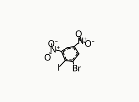 O=[N+]([O-])c1cc(Br)c(I)c([N+](=O)[O-])c1